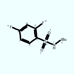 CC(C)(C)NS(=O)(=O)c1ccc(F)cc1F